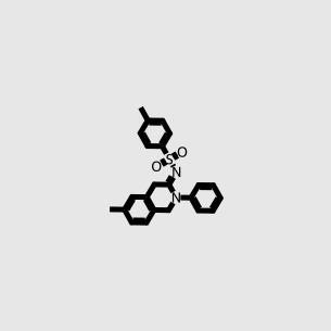 Cc1ccc(S(=O)(=O)N=C2Cc3cc(C)ccc3CN2c2ccccc2)cc1